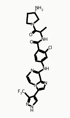 CC(NC(=O)c1ccc(Nc2nccn3c(-c4c[nH]nc4C(F)(F)F)cnc23)cc1Cl)C(=O)N1CC[C@H](N)C1